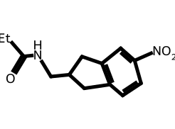 CCC(=O)NCC1Cc2ccc([N+](=O)[O-])cc2C1